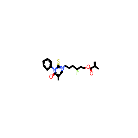 C=C(C)C(=O)OCCC(F)CCCn1cc(C)c(=O)n(-c2ccccc2)c1=S